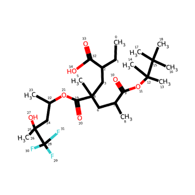 CCC(CC(C)(CC(C)C(=O)OC(C)(C)C(C)(C)C)C(=O)OC(C)CC(C)(O)C(F)(F)F)C(=O)O